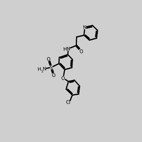 NS(=O)(=O)c1cc(NC(=O)Cc2ccccn2)ccc1Oc1cccc(Cl)c1